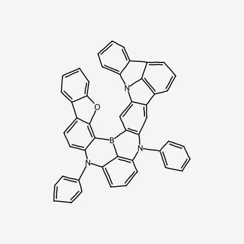 c1ccc(N2c3cc4c5cccc6c7ccccc7n(c4cc3B3c4c2cccc4N(c2ccccc2)c2ccc4c(oc7ccccc74)c23)c65)cc1